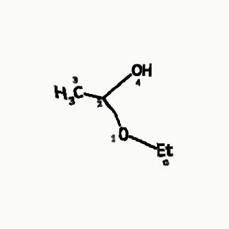 CCO[C](C)O